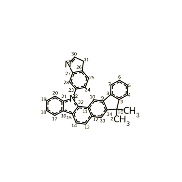 CC1(C)c2ccccc2-c2cc3c(ccc4c5ccccc5n(-c5ccc6c(c5)N=CC6)c34)cc21